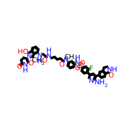 C=C1c2c(NCC(=O)NCCCCC(=O)N(C)c3cccc(NS(=O)(=O)c4ccc(-c5cnc(N)c(-c6ccc7c(c6)CCNC7=O)c5)c(F)c4)c3)cccc2C(O)N1C1CCC(=O)NC1=O